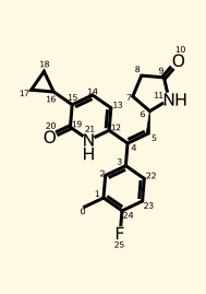 Cc1cc(C(=C[C@H]2CCC(=O)N2)c2ccc(C3CC3)c(=O)[nH]2)ccc1F